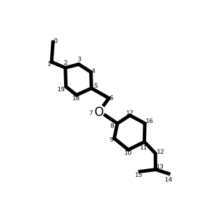 CCC1CCC(COC2CCC(CC(C)C)CC2)CC1